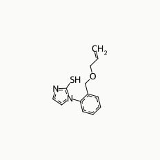 C=CCOCc1ccccc1-n1ccnc1S